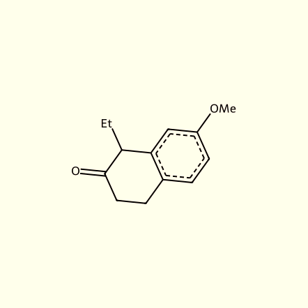 CCC1C(=O)CCc2ccc(OC)cc21